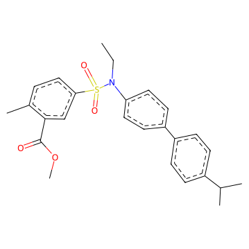 CCN(c1ccc(-c2ccc(C(C)C)cc2)cc1)S(=O)(=O)c1ccc(C)c(C(=O)OC)c1